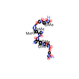 COc1ccc(C(=O)N2CCC(OCCN3CCN(Cc4c(OC)cc(-c5cn(CCn6cc(-c7cc(OC)c(CN8CCC(OC9CCN(C(=O)COc%10ccc(N%11CCC(=O)NC%11=O)cc%10)CC9)CC8)c(OC)c7)c7ccncc7c6=O)c(=O)c6cnccc56)cc4OC)CC3)CC2)cc1N1CCC(=O)NC1=O